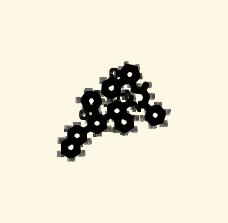 CC1=C(c2cccc3oc4ccccc4c23)NC(c2ccc(-c3ccc(-c4ccc5ccccc5c4)c4oc5ccccc5c34)c3ccccc23)N=C(c2ccccc2)C1